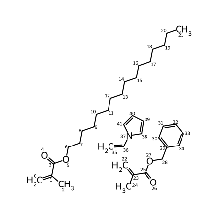 C=C(C)C(=O)OCCCCCCCCCCCCCCCC.C=C(C)C(=O)OCc1ccccc1.C=Cn1cccc1